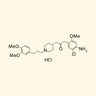 COc1cc(N)c(Cl)cc1CC(=O)CC1CCN(CCCc2ccc(OC)c(OC)c2)CC1.Cl